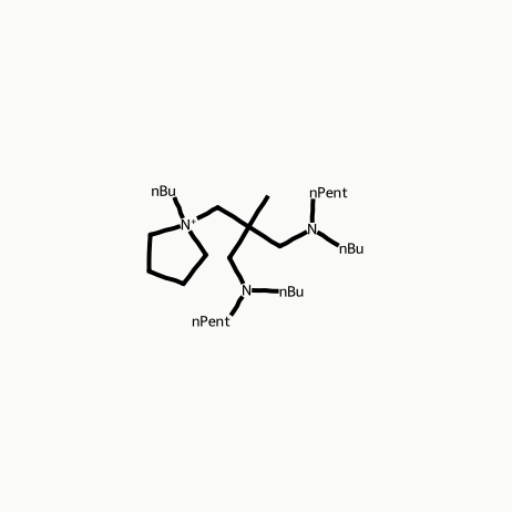 CCCCCN(CCCC)CC(C)(CN(CCCC)CCCCC)C[N+]1(CCCC)CCCC1